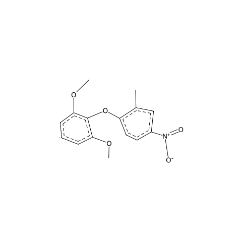 COc1c[c]cc(OC)c1Oc1ccc([N+](=O)[O-])cc1C